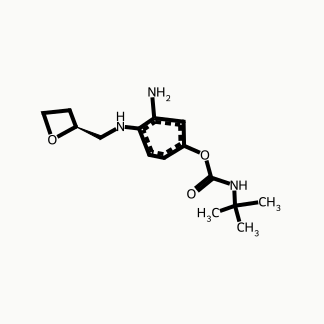 CC(C)(C)NC(=O)Oc1ccc(NC[C@@H]2CCO2)c(N)c1